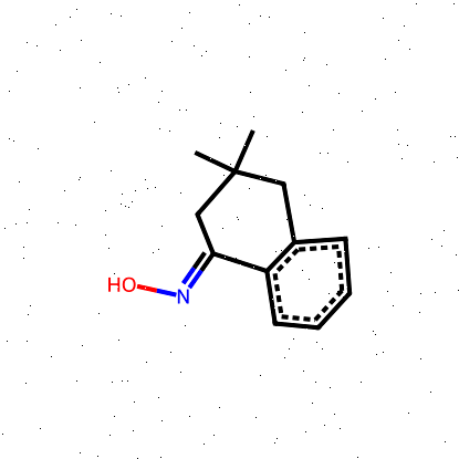 CC1(C)CC(=NO)c2ccccc2C1